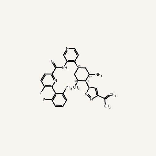 C=C(C)c1cn([C@@H]2[C@H](N)C[C@H](c3ccncc3NC(=O)c3ccc(F)c(-c4c(F)cccc4P)n3)C[C@@H]2C)nn1